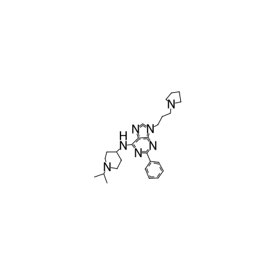 CC(C)N1CCC(Nc2nc(-c3ccccc3)nc3c2ncn3CCCN2CCCC2)CC1